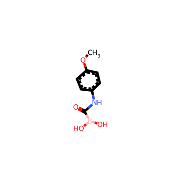 COc1ccc(NC(=O)B(O)O)cc1